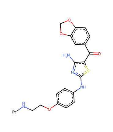 CC(C)NCCOc1ccc(Nc2nc(N)c(C(=O)c3ccc4c(c3)OCO4)s2)cc1